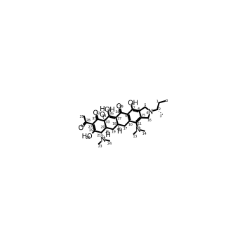 CC[C@H](C)N1Cc2c(O)c3c(c(N(C)C)c2C1)C[C@H]1C[C@H]2[C@H](N(C)C)C(O)=C(C(C)=O)C(=O)[C@@]2(O)C(O)=C1C3=O